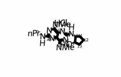 CCCNc1nc(NC)c2nc(N[C@@H]3CCC[C@H]3O)nc(NC)c2n1.Cl